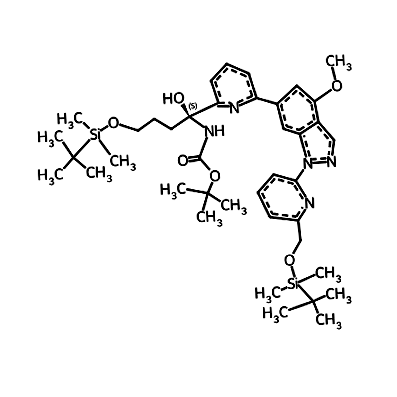 COc1cc(-c2cccc([C@@](O)(CCCO[Si](C)(C)C(C)(C)C)NC(=O)OC(C)(C)C)n2)cc2c1cnn2-c1cccc(CO[Si](C)(C)C(C)(C)C)n1